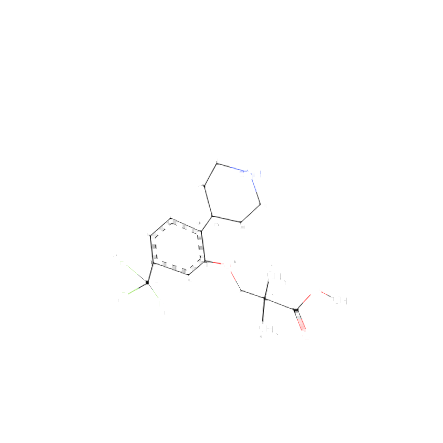 COC(=O)C(C)(C)COc1cc(C(F)(F)F)ccc1C1CCNCC1